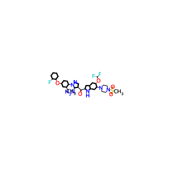 Cc1cc(Oc2ccccc2F)ccc1-n1ncc(C(=O)c2cc3cc(OC(F)F)c(N4CCN(S(C)(=O)=O)CC4)cc3[nH]2)c1N